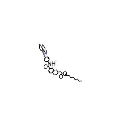 CCCCCCCCOC(=O)CC1CCc2ccc(C(=O)Nc3ccc(/C=N/N4CCN(C)CC4)cc3)cc2C1